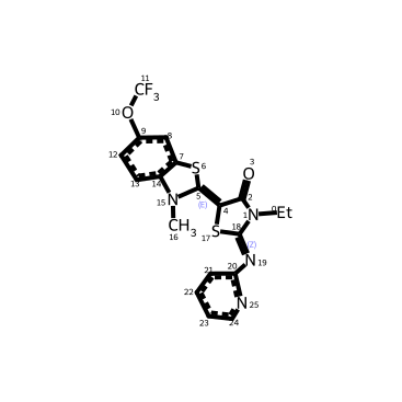 CCN1C(=O)/C(=C2\Sc3cc(OC(F)(F)F)ccc3N2C)S/C1=N\c1ccccn1